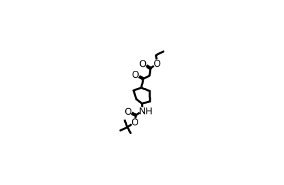 CCOC(=O)CC(=O)C1CCC(NC(=O)OC(C)(C)C)CC1